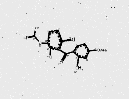 COc1ccc(C(=O)c2c(Cl)ccc(OC(F)F)c2Cl)c(C)c1